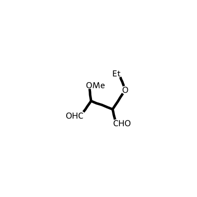 CCOC(C=O)C(C=O)OC